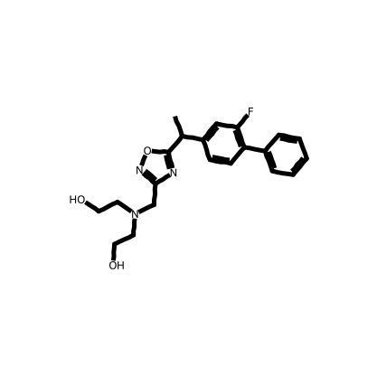 CC(c1ccc(-c2ccccc2)c(F)c1)c1nc(CN(CCO)CCO)no1